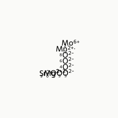 [Mg+2].[Mn+2].[Mo+6].[O-2].[O-2].[O-2].[O-2].[O-2].[O-2].[Sr+2]